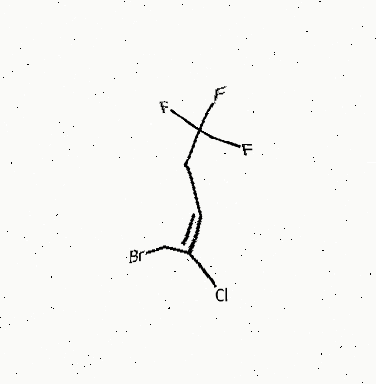 FC(F)(F)CC=C(Cl)Br